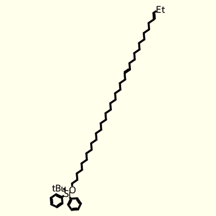 CCC=CCCCCCCCCCC=CCCCCCCCCCCCCCCCCCCCCCCO[Si](c1ccccc1)(c1ccccc1)C(C)(C)C